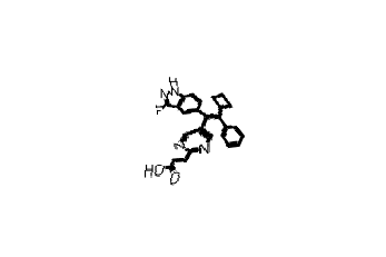 O=C(O)/C=C/c1ncc(/C(=C(\c2ccccc2)C2CCC2)c2ccc3[nH]nc(F)c3c2)cn1